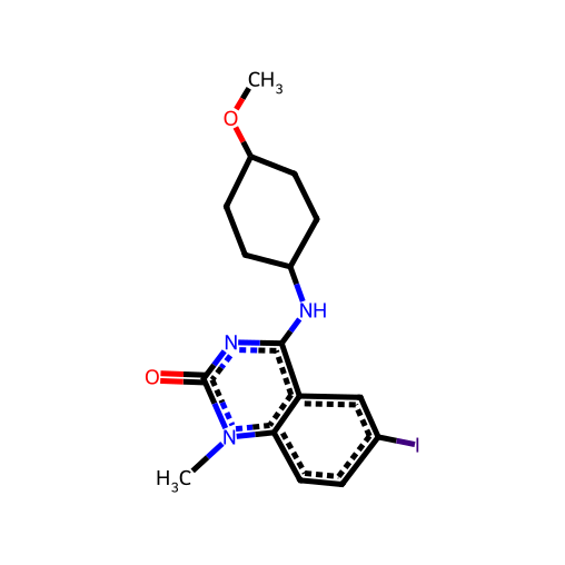 COC1CCC(Nc2nc(=O)n(C)c3ccc(I)cc23)CC1